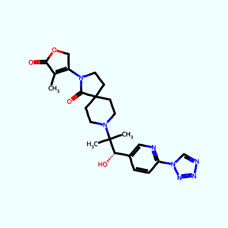 CC1=C(N2CCC3(CCN(C(C)(C)[C@@H](O)c4ccc(-n5cnnn5)nc4)CC3)C2=O)COC1=O